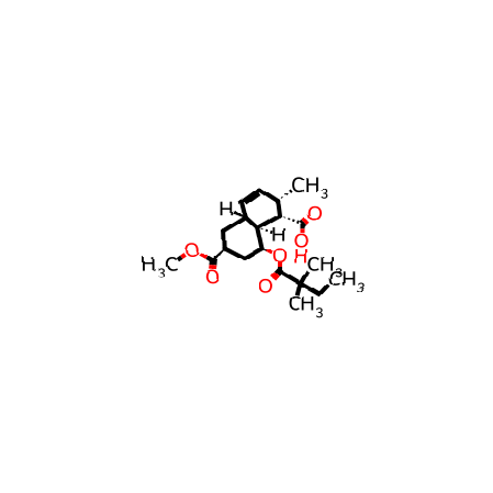 CCC(C)(C)C(=O)O[C@H]1C[C@@H](C(=O)OC)C[C@@H]2C=C[C@H](C)[C@H](C(=O)O)[C@@H]12